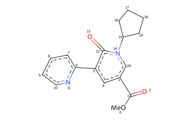 COC(=O)c1cc(-c2ccccn2)c(=O)n(C2CCCC2)c1